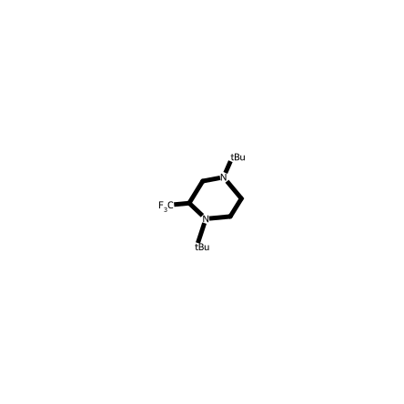 CC(C)(C)N1CCN(C(C)(C)C)C(C(F)(F)F)C1